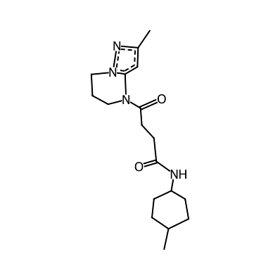 Cc1cc2n(n1)CCCN2C(=O)CCC(=O)NC1CCC(C)CC1